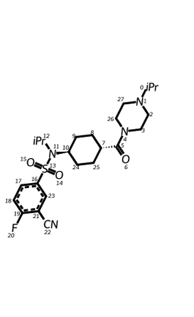 CC(C)N1CCN(C(=O)[C@H]2CC[C@H](N(C(C)C)S(=O)(=O)c3ccc(F)c(C#N)c3)CC2)CC1